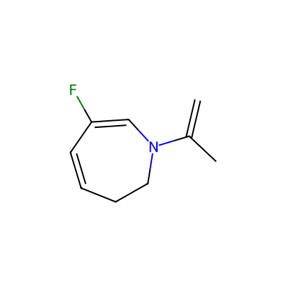 C=C(C)N1C=C(F)C=CCC1